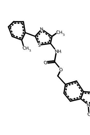 Cc1ccccc1-c1nc(C)c(NC(=O)OCc2ccc3c(c2)nnn3C)s1